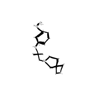 CC(C)(CN1CCC2(CSC2)C1)Oc1cccc(OC(F)(F)F)c1